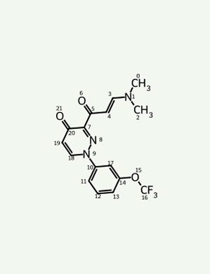 CN(C)/C=C/C(=O)c1nn(-c2cccc(OC(F)(F)F)c2)ccc1=O